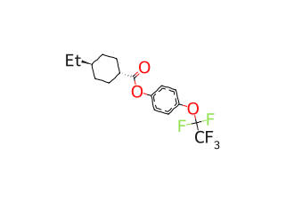 CC[C@H]1CC[C@H](C(=O)Oc2ccc(OC(F)(F)C(F)(F)F)cc2)CC1